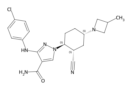 CC1CN([C@H]2CC[C@H](n3cc(C(N)=O)c(Nc4ccc(Cl)cc4)n3)[C@@H](C#N)C2)C1